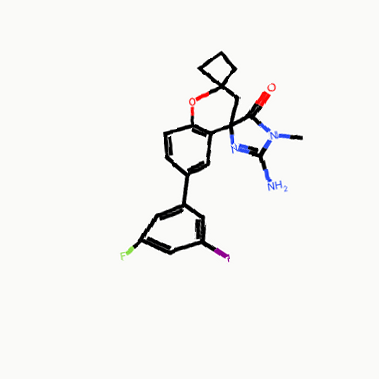 CN1C(=O)C2(CC3(CCC3)Oc3ccc(-c4cc(F)cc(I)c4)cc32)N=C1N